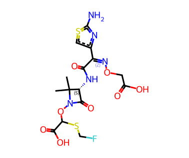 CC1(C)[C@H](NC(=O)/C(=N\OCC(=O)O)c2csc(N)n2)C(=O)N1OC(SCF)C(=O)O